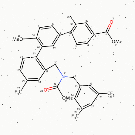 COC(=O)c1ccc(-c2ccc(OC)c(-c3ccc(C(F)(F)F)cc3CN(Cc3cc(C(F)(F)F)cc(C(F)(F)F)c3)C(=O)OC)c2)c(C)c1